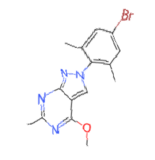 COc1nc(C)nc2nn(-c3c(C)cc(Br)cc3C)cc12